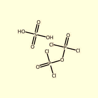 O=P(Cl)(Cl)OP(=O)(Cl)Cl.O=S(=O)(O)O